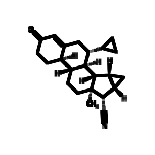 C[C@]12CC[C@H]3[C@H]([C@@H]1[C@@H]1C[C@@H]1[C@@H]2C#N)[C@@H](C1CC1)CC1=CC(=O)CC[C@@H]13